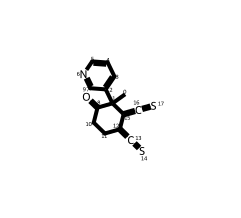 CC1(c2cccnc2)C(=O)CCC(=C=S)C1=C=S